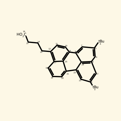 CC(C)(C)c1cc2cc(C(C)(C)C)cc3c4ccc(CCCC(=O)O)c5cccc(c(c1)c23)c54